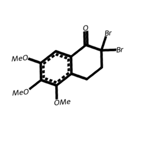 COc1cc2c(c(OC)c1OC)CCC(Br)(Br)C2=O